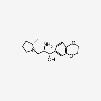 C[C@H]1CCCN1C[C@@H](N)[C@H](O)c1ccc2c(c1)OCCO2